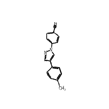 Cc1ccc(-c2cnn(-c3ccc(C#N)cc3)c2)cc1